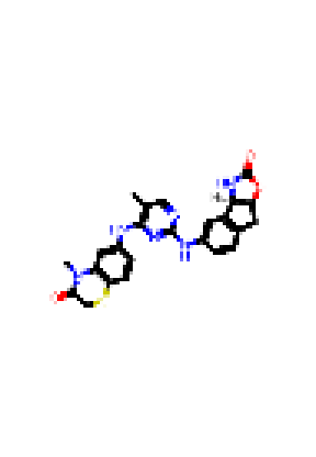 Cc1cnc(Nc2ccc3c(c2)[C@H]2NC(=O)OC2C3)nc1Nc1ccc2c(c1)N(C)C(=O)CS2